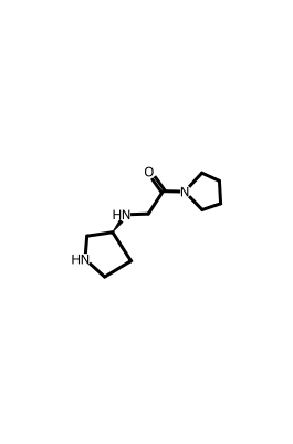 O=C(CN[C@H]1CCNC1)N1CCCC1